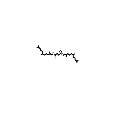 CC(C)=CCCC(C)CCC/C(C)=C/OC(=O)CCC(=O)O/C=C(\C)CCCC(C)CCC=C(C)C